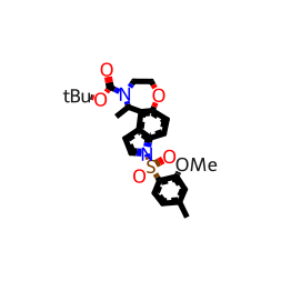 COc1cc(C)ccc1S(=O)(=O)n1ccc2c3c(ccc21)OCCN(C(=O)OC(C)(C)C)C3C